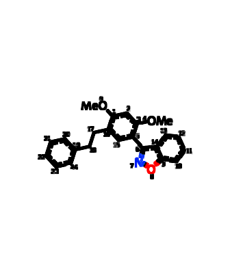 COc1cc(OC)c(-c2noc3ccccc23)cc1CCc1ccccc1